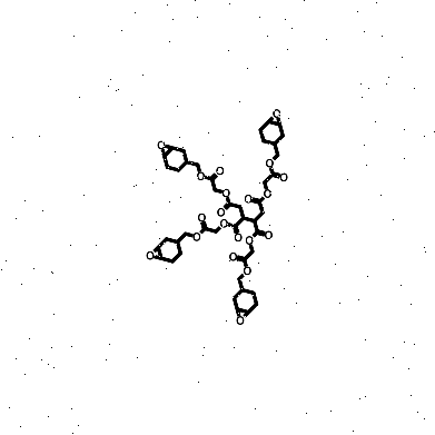 O=C(COC(=O)CC(C(=O)OCC(=O)OCC1CCC2OC2C1)C(CC(=O)OCC(=O)OCC1CCC2OC2C1)C(=O)OCC(=O)OCC1CCC2OC2C1)OCC1CCC2OC2C1